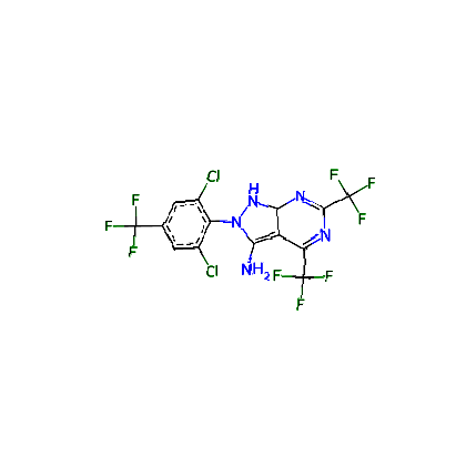 NC1=C2C(C(F)(F)F)=NC(C(F)(F)F)=NC2NN1c1c(Cl)cc(C(F)(F)F)cc1Cl